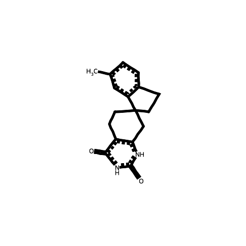 Cc1ccc2c(c1)C1(CC2)CCc2c([nH]c(=O)[nH]c2=O)C1